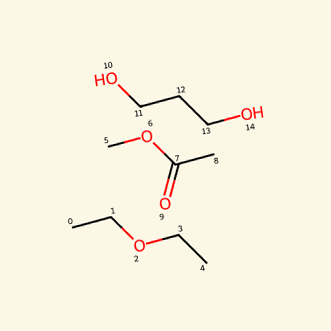 CCOCC.COC(C)=O.OCCCO